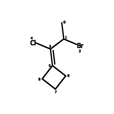 CC(Br)C(Cl)=C1CCC1